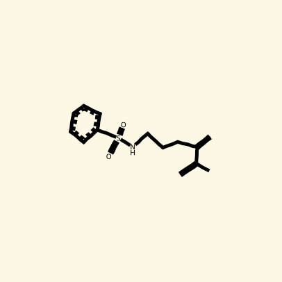 C=C(C)C(=C)CCCNS(=O)(=O)c1ccccc1